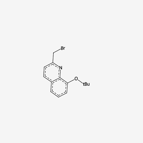 CC(C)(C)Oc1cccc2ccc(CBr)nc12